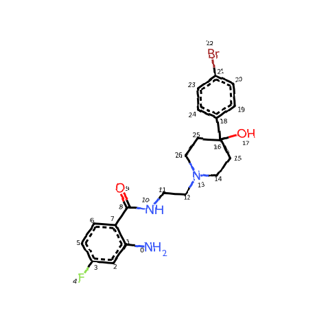 Nc1cc(F)ccc1C(=O)NCCN1CCC(O)(c2ccc(Br)cc2)CC1